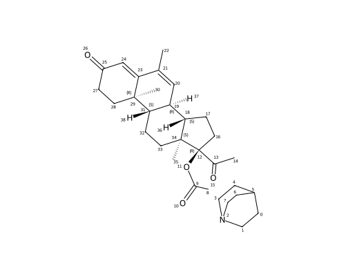 C1CN2CCC1CC2.CC(=O)O[C@]1(C(C)=O)CC[C@H]2[C@@H]3C=C(C)C4=CC(=O)CC[C@]4(C)[C@H]3CC[C@@]21C